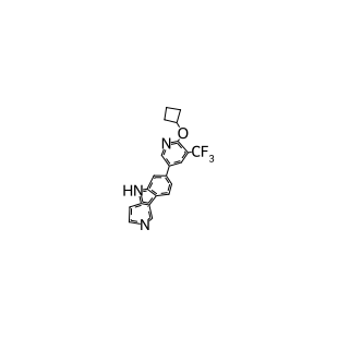 FC(F)(F)c1cc(-c2ccc3c(c2)[nH]c2ccncc23)cnc1OC1CCC1